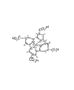 O=C(O)c1cc[c]([Co]([c]2ccc(C(=O)O)cc2)([c]2ccc(C(=O)O)cc2)[c]2ccc(C(=O)O)cc2)cc1